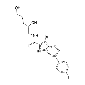 O=C(NCC(O)CCCO)c1[nH]c2cc(-c3ccc(F)cc3)ccc2c1Br